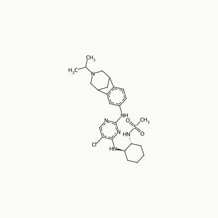 CC(C)N1CC2CC(C1)c1cc(Nc3ncc(Cl)c(N[C@@H]4CCCC[C@H]4NS(C)(=O)=O)n3)ccc12